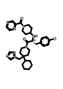 O=C(c1cnccn1)N1CCC(N[C@H](Cc2ccc(Cl)cc2)C(=O)N2CCC(Cn3cncn3)(C3CCCCC3)CC2)CC1